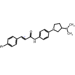 CC(C)c1ccc(/C=C/C(=O)Nc2ccc(N3CCC(N(C)C)C3)cc2)cc1